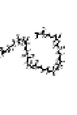 C=C(C)C(=O)OCCC[N+](C)(C)CC(=O)NCCCC[Si](C)(C)O[Si](C)(C)CCCCNC(=O)C[N+](C)(C)CC(=O)NCCC[Si](C)(C)O[Si](C)(C)CCCNC(C)=O